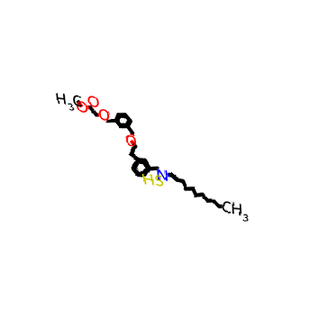 CCCCCCCCCCCN(S)Cc1cccc(CCOCc2cccc(COCC(=O)OC)c2)c1